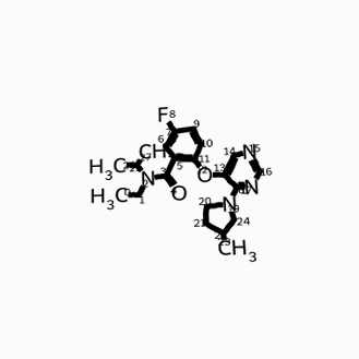 CCN(C(=O)c1cc(F)ccc1Oc1cncnc1N1CCC(C)C1)C(C)C